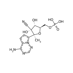 C[C@@]1(c2ccc3c(N)ncnn23)O[C@H](COP(=O)(O)O)[C@@H](O)[C@]1(O)C#N